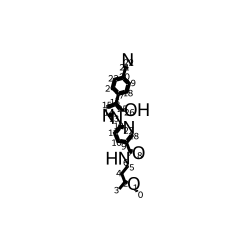 COC(C)CCNC(=O)c1ccc(-n2ncc(-c3ccc(C#N)cc3)c2O)nc1